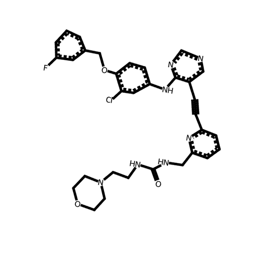 O=C(NCCN1CCOCC1)NCc1cccc(C#Cc2cncnc2Nc2ccc(OCc3cccc(F)c3)c(Cl)c2)n1